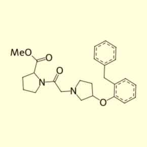 COC(=O)C1CCCN1C(=O)CN1CCC(Oc2ccccc2Cc2ccccc2)C1